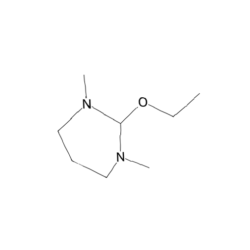 CCOC1N(C)CCCN1C